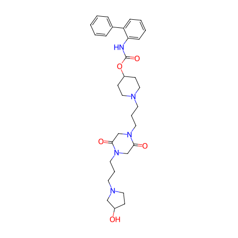 O=C(Nc1ccccc1-c1ccccc1)OC1CCN(CCCN2CC(=O)N(CCCN3CCC(O)C3)CC2=O)CC1